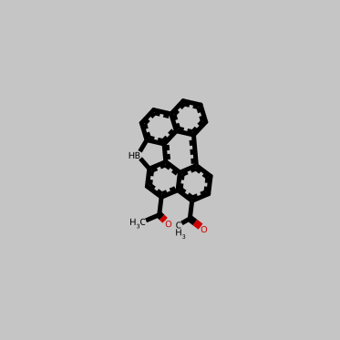 CC(=O)c1ccc2c3cccc4ccc5c(c6c(cc(C(C)=O)c1c26)B5)c43